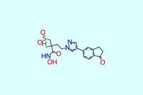 CC(CCn1cc(-c2ccc3c(c2)CCC3=O)cn1)(C[SH](=O)=O)C(=O)NO